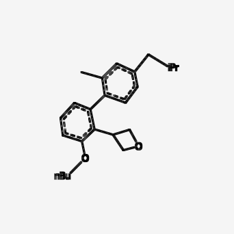 CCCCOc1cccc(-c2ccc(CC(C)C)cc2C)c1C1COC1